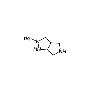 CC(C)(C)N1CC2CNCC2N1